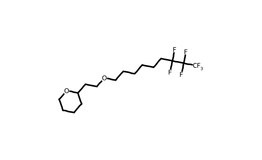 FC(F)(F)C(F)(F)C(F)(F)CCCCCCOCCC1CCCCO1